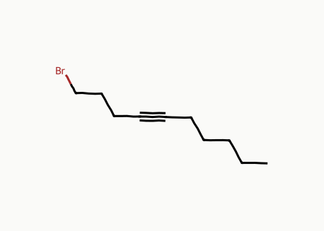 CCCCCC#CCCCBr